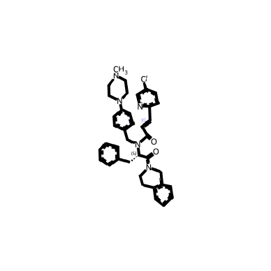 CN1CCN(c2ccc(CN(C(=O)/C=C/c3ccc(Cl)cn3)[C@@H](Cc3ccccc3)C(=O)N3CCc4ccccc4C3)cc2)CC1